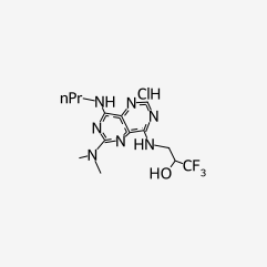 CCCNc1nc(N(C)C)nc2c(NCC(O)C(F)(F)F)ncnc12.Cl